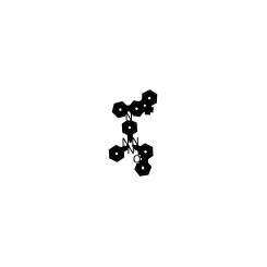 CC1(C)c2ccccc2-c2cc3c4ccccc4n(-c4ccc(-c5nc(-c6ccccc6)nc(-c6cccc7c6oc6ccccc67)n5)cc4)c3cc21